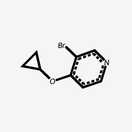 Brc1cnccc1OC1CC1